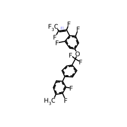 Cc1ccc(-c2ccc(C(F)(F)Oc3cc(F)c(/C(F)=C(\F)C(F)(F)F)c(F)c3)cc2)c(F)c1F